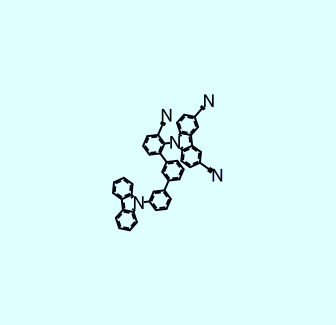 N#Cc1ccc2c(c1)c1cc(C#N)ccc1n2-c1c(C#N)cccc1-c1cccc(-c2cccc(-n3c4ccccc4c4ccccc43)c2)c1